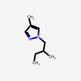 CCC(C)Cn1cc(C)cn1